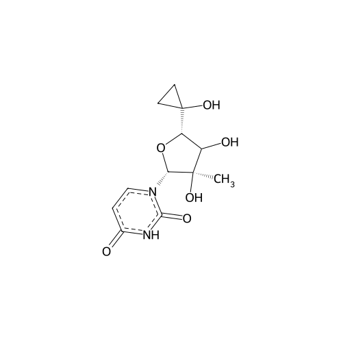 C[C@@]1(O)C(O)[C@@H](C2(O)CC2)O[C@H]1n1ccc(=O)[nH]c1=O